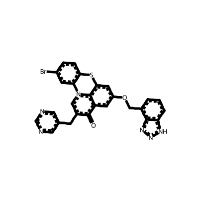 O=c1c(Cc2cncnc2)cn2c3c(cc(OCc4cccc5[nH]nnc45)cc13)Sc1ccc(Br)cc1-2